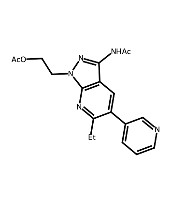 CCc1nc2c(cc1-c1cccnc1)c(NC(C)=O)nn2CCOC(C)=O